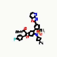 CNC(=O)c1c(-c2ccc(F)cc2)oc2cc(N(C3CC(C#N)C3)S(C)(=O)=O)c(-c3cccc(-c4nc5ncccc5o4)c3)cc12